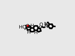 COC[C@]12CC[C@@](C)(O)C[C@@H]1CC[C@H]1[C@@H]3CC[C@H](C(=O)Cn4ncc5cc(C)ccc54)[C@@]3(C)CC[C@@H]12